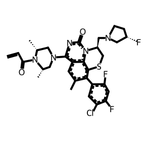 C=CC(=O)N1[C@H](C)CN(c2nc(=O)n3c4c(c(-c5cc(Cl)c(F)cc5F)c(C)cc24)SC[C@@H]3CN2CC[C@H](F)C2)C[C@@H]1C